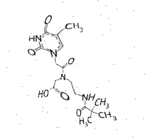 Cc1cn(CC(=O)N(CCNC(=O)C(C)(C)C)CC(=O)O)c(=O)[nH]c1=O